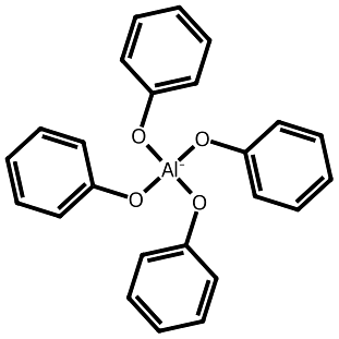 c1ccc([O][Al-]([O]c2ccccc2)([O]c2ccccc2)[O]c2ccccc2)cc1